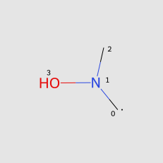 [CH2]N(C)O